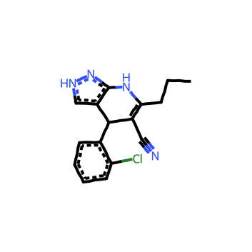 CCCC1=C(C#N)C(c2ccccc2Cl)c2c[nH]nc2N1